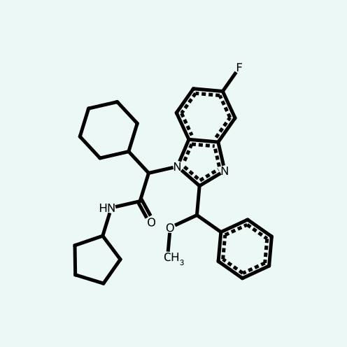 COC(c1ccccc1)c1nc2cc(F)ccc2n1C(C(=O)NC1CCCC1)C1CCCCC1